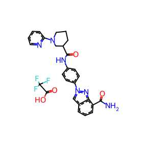 NC(=O)c1cccc2cn(-c3ccc(NC(=O)C4CCCN(c5ccccn5)C4)cc3)nc12.O=C(O)C(F)(F)F